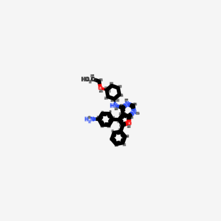 Nc1ccc(-c2c(-c3ccccc3)oc3ncnc(N[C@H]4CCC[C@H](OCC(=O)O)C4)c23)cc1